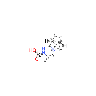 CC(CN1C[C@@H]2CC[C@@H](C2)C1)NC(=O)O